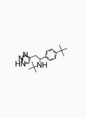 CC(C)(C)NC(Cc1c[nH]nn1)c1ccc(C(C)(C)C)cc1